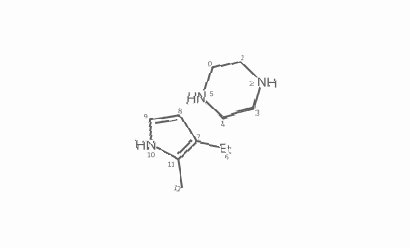 C1CNCCN1.CCc1cc[nH]c1C